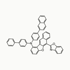 c1ccc(-c2ccc(N(c3ccc(-c4ccc5ccccc5c4)cc3)c3cccc4oc5c(-c6nc7ccccc7o6)c6ccccc6cc5c34)cc2)cc1